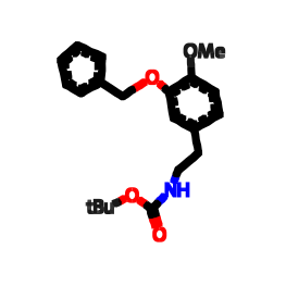 COc1ccc(CCNC(=O)OC(C)(C)C)cc1OCc1ccccc1